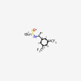 C[C@H](N=[SH](=O)C(C)(C)C)c1cc(C(F)(F)F)cc(C(F)(F)F)c1